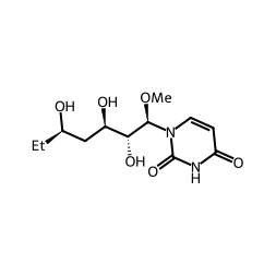 CC[C@@H](O)C[C@@H](O)[C@@H](O)[C@@H](OC)n1ccc(=O)[nH]c1=O